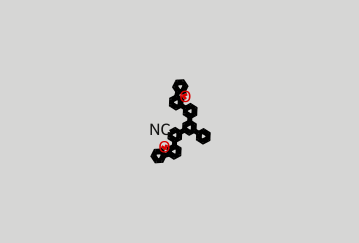 N#Cc1cc(-c2cc(-c3ccccc3)cc(-c3cccc(-c4cccc5c4oc4ccccc45)c3)c2)cc(-c2cccc3c2oc2ccccc23)c1